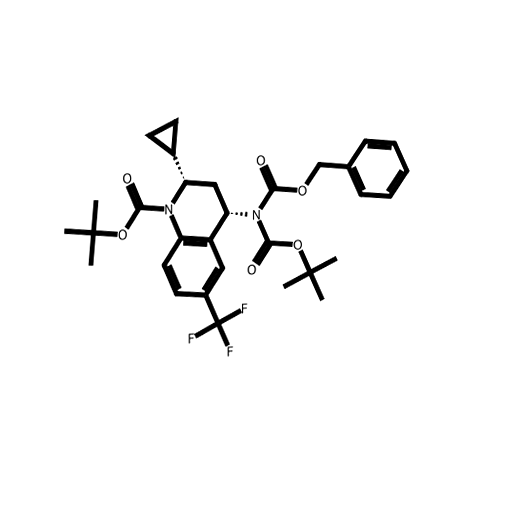 CC(C)(C)OC(=O)N(C(=O)OCc1ccccc1)[C@H]1C[C@@H](C2CC2)N(C(=O)OC(C)(C)C)c2ccc(C(F)(F)F)cc21